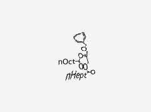 CCCCCCCCC(=O)O[C@@H](COCc1ccccc1)COC(=O)CCCCCCC